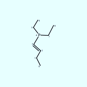 CCC=CP(CC)CC